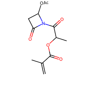 C=C(C)C(=O)OC(C)C(=O)N1C(=O)CC1OC(C)=O